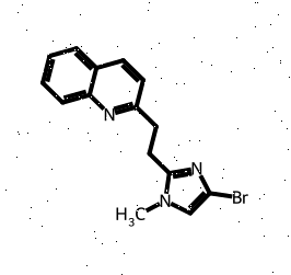 Cn1cc(Br)nc1CCc1ccc2ccccc2n1